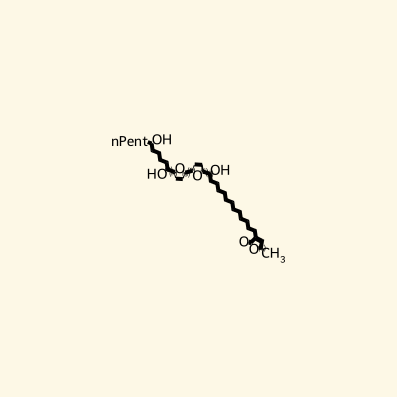 CCCCCC(O)CCCC[C@H](O)[C@H]1CC[C@@H]([C@@H]2CC[C@@H]([C@@H](O)CCCCCCCCCCCCC3=C[C@H](C)OC3=O)O2)O1